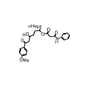 CCCCCCCC(CCC(O)CC(=O)c1ccc(OC)cc1)OC(=O)CC(=O)Nc1ccccc1